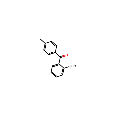 Cc1ccc(C(=O)c2ccccc2C=O)cc1